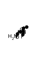 NC(=O)c1ccc(CN2CCC(c3c(C(=O)N4CC[C@H](C5C=CC=CC5)C4)cnn3-c3ccc(F)cc3)CC2)cc1